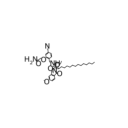 CCCCCCCCCCCCCC[C@](OCC)(C(=O)NCc1ccc(C#N)cc1OCC(N)=O)N1Cc2cc(OC)ccc2C1=O